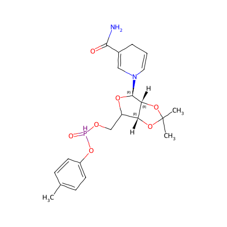 Cc1ccc(O[PH](=O)OCC2O[C@@H](N3C=CCC(C(N)=O)=C3)[C@@H]3OC(C)(C)O[C@H]23)cc1